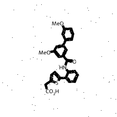 COc1cccc(-c2cc(OC)cc(C(=O)Nc3ccccc3-c3ccc(CC(=O)O)s3)c2)c1